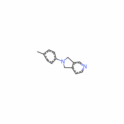 Cc1ccc(N2Cc3ccncc3C2)cc1